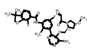 C=CC(=O)N1C[C@H](OC)C[C@H]1COc1c(N)ncnc1-c1cc(F)cc(NC(=O)c2ccc3c(c2F)OCC3(C)C)c1C